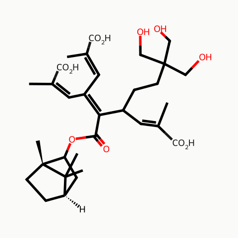 CC(=CC(C=C(C)C(=O)O)=C(C(=O)OC1C[C@H]2CC[C@@]1(C)C2(C)C)C(C=C(C)C(=O)O)CCC(CO)(CO)CO)C(=O)O